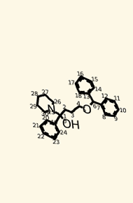 OC(CCCOC(c1ccccc1)c1ccccc1)(c1ccccc1)N1CCCCC1